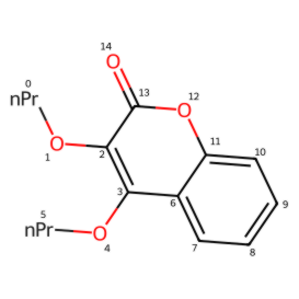 CCCOc1c(OCCC)c2ccccc2oc1=O